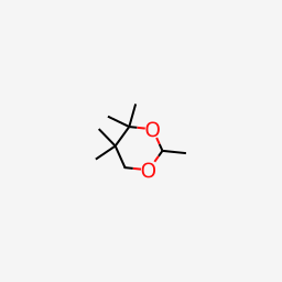 CC1OCC(C)(C)C(C)(C)O1